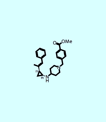 COC(=O)c1ccc(CN2CCC(N[C@@H]3C[C@H]3C(C)=Cc3ccccc3)CC2)cc1